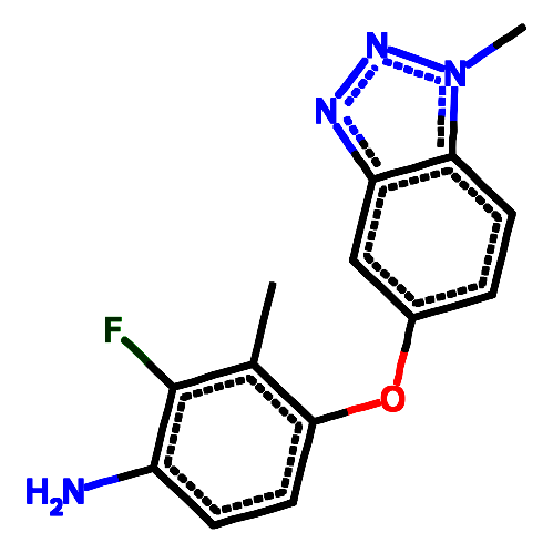 Cc1c(Oc2ccc3c(c2)nnn3C)ccc(N)c1F